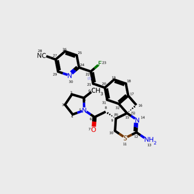 CC1CCCN1C(=O)C[C@H]1CSC(N)=N[C@@]12Cc1ccc(/C=C(\F)c3ccc(C#N)cn3)cc12